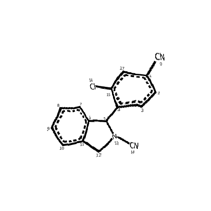 N#Cc1ccc(C2c3ccccc3CN2C#N)c(Cl)c1